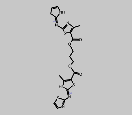 Cc1nc(/N=c2\[nH]ccs2)sc1C(=O)OCCCOC(=O)c1s/c(=N/c2nccs2)[nH]c1C